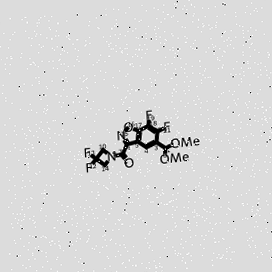 COC(OC)c1cc2c(C(=O)N3CC(F)(F)C3)noc2c(F)c1F